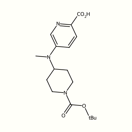 CN(c1ccc(C(=O)O)nc1)C1CCN(C(=O)OC(C)(C)C)CC1